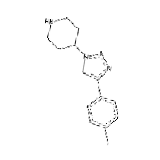 Cc1ccc(-c2cn(C3CCNCC3)nn2)cc1